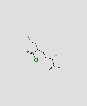 C=C(C)C(C)CCC(CCC)C(=C)Cl